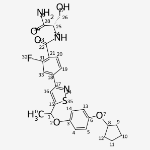 CC(Oc1ccc(OC2CCCC2)cc1)c1cc(-c2ccc(C(=O)N[C@@H](CO)C(N)=O)c(F)c2)ns1